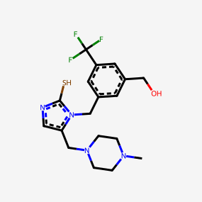 CN1CCN(Cc2cnc(S)n2Cc2cc(CO)cc(C(F)(F)F)c2)CC1